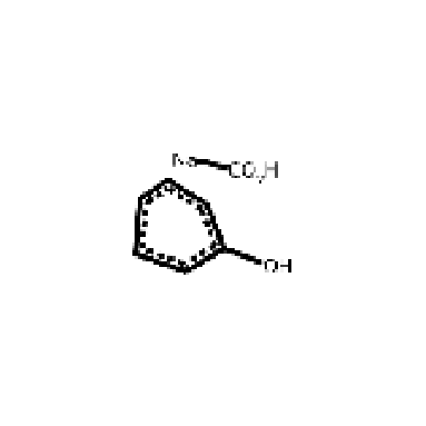 O=[C](O)[Na].Oc1ccccc1